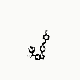 OC(c1cncnc1)c1ccc2c(c1)N(C1CCN(CCc3ccc(F)cc3)CC1)CC2